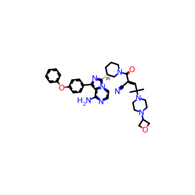 CC(C)(C=C(C#N)C(=O)N1CCC[C@@H](c2nc(-c3ccc(Oc4ccccc4)cc3)c3c(N)nccn23)C1)N1CCN(C2COC2)CC1